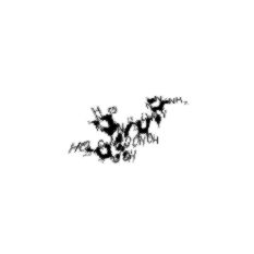 Nc1ncnc2c1ncn2[C@@H]1O[C@H](CCOP(=O)(O)O[C@@H]2C[C@@H](CO)O[C@H]2n2cnc3c(=O)[nH]cnc32)[C@@H](O)[C@H]1O